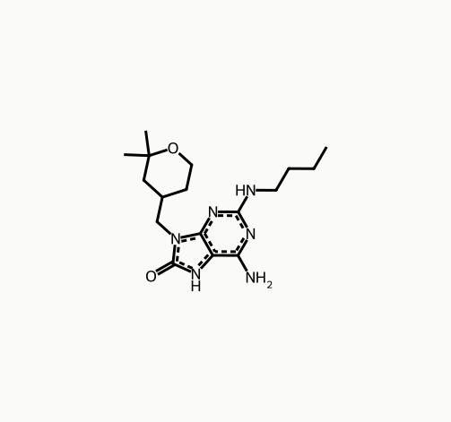 CCCCNc1nc(N)c2[nH]c(=O)n(CC3CCOC(C)(C)C3)c2n1